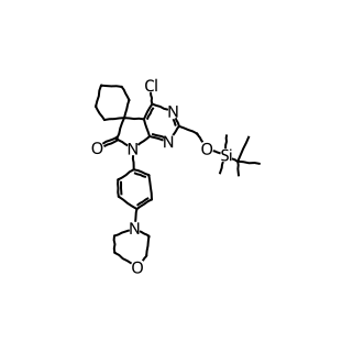 CC(C)(C)[Si](C)(C)OCc1nc(Cl)c2c(n1)N(c1ccc(N3CCOCC3)cc1)C(=O)C21CCCCC1